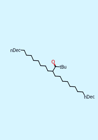 CCCCCCCCCCCCCCCCCCC(CCCCCCCCCCCCCCCCCC)C(=O)C(C)(C)C